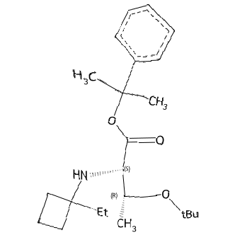 CCC1(N[C@H](C(=O)OC(C)(C)c2ccccc2)[C@@H](C)OC(C)(C)C)CCC1